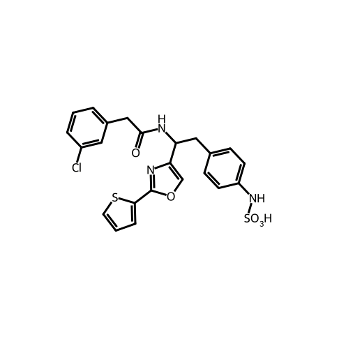 O=C(Cc1cccc(Cl)c1)NC(Cc1ccc(NS(=O)(=O)O)cc1)c1coc(-c2cccs2)n1